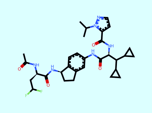 CC(=O)N[C@H](CC(F)F)C(=O)N[C@@H]1CCc2cc(NC(=O)[C@@H](NC(=O)c3ccnn3C(C)C)C(C3CC3)C3CC3)ccc21